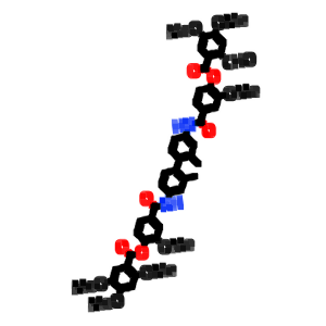 COc1cc(C=O)c(C(=O)Oc2ccc(C(=O)Nc3ccc(-c4ccc(NC(=O)c5ccc(OC(=O)c6cc(OC)c(OC)cc6OC)c(OC)c5)cc4C)c(C)c3)cc2OC)cc1OC